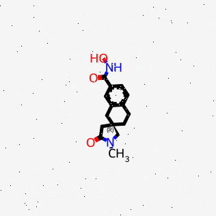 CN1C[C@@]2(CCc3ccc(C(=O)NO)cc3C2)CC1=O